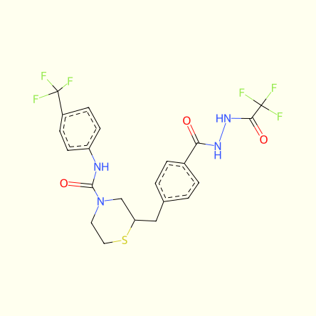 O=C(NNC(=O)C(F)(F)F)c1ccc(CC2CN(C(=O)Nc3ccc(C(F)(F)F)cc3)CCS2)cc1